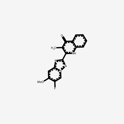 COc1cc2nc(-c3[nH]c4ccccc4c(=O)c3C)nn2cc1F